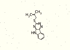 C=C(C)CSc1nnc2c(n1)[nH]c1ccccc12